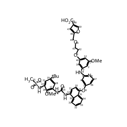 COc1cc(Nc2cc(Oc3ccc(NC(=O)Nc4cc(C(C)(C)C)cc(NS(C)(=O)=O)c4OC)c4ccccc34)ccn2)cc(OCCOCc2cc(C(=O)O)co2)c1